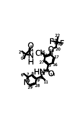 CC1(C)NC1=O.Cc1cc(C(C)NC(=O)c2ccc(OCC(C)(F)F)c(Cl)c2)ccn1